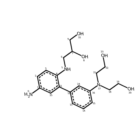 Nc1ccc(NCC(O)CO)c(-c2cccc(N(CCO)CCO)c2)c1